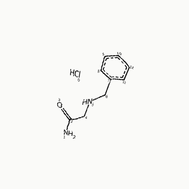 Cl.NC(=O)CNCc1ccccc1